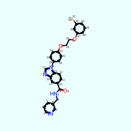 O=C(NCc1cccnc1)c1ccc2c(c1)ncn2-c1ccc(OCCOc2cccc(Br)c2)cc1